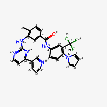 Cc1ccc(C(=O)Nc2ccc(-n3cccc3)c(C(F)(F)F)c2)cc1Nc1nccc(-c2cccnc2)n1